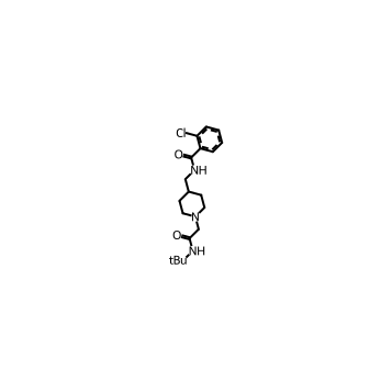 CC(C)(C)NC(=O)CN1CCC(CNC(=O)c2ccccc2Cl)CC1